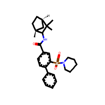 CC1(C)C(NC(=O)c2ccc(-c3ccccc3)c(S(=O)(=O)N3CCCCC3)c2)[C@]2(C)CC[C@@H]1C2